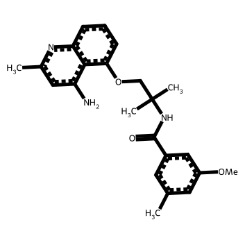 COc1cc(C)cc(C(=O)NC(C)(C)COc2cccc3nc(C)cc(N)c23)c1